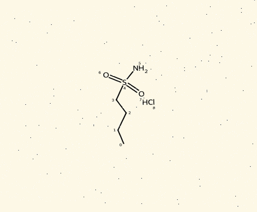 CCCCS(N)(=O)=O.Cl